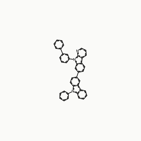 c1ccc(-c2cccc(-n3c4cc(-c5ccc6c(c5)c5ccccc5n6-c5ccccc5)ccc4c4cccnc43)c2)cc1